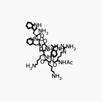 CC(=O)N[C@@H](CCCN=C(N)N)C(=O)N[C@@H](CCCCN)C(=O)N[C@@H](CCCCN)C(=O)N[C@@H](Cc1c[nH]c2ccccc12)C(=O)N[C@@H](Cc1ccccc1)C(=O)N[C@@H](Cc1c[nH]c2ccccc12)C(N)=O